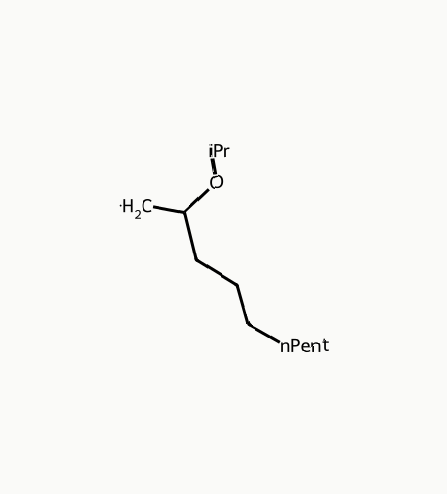 [CH2]CCCCCCCC([CH2])OC(C)C